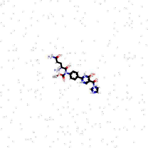 CC(C)(C)OC(=O)N(C(=O)[C@@H](N)CCC(N)=O)c1ccc(-c2ncc(C(=O)n3ccnc3)c(O)n2)cc1